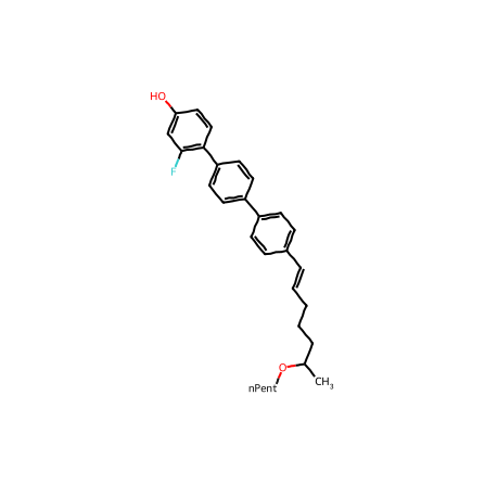 CCCCCOC(C)CCC/C=C/c1ccc(-c2ccc(-c3ccc(O)cc3F)cc2)cc1